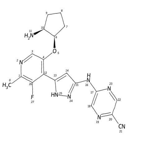 Cc1ncc(O[C@@H]2CCC[C@@H]2N)c(-c2cc(Nc3cnc(C#N)cn3)n[nH]2)c1F